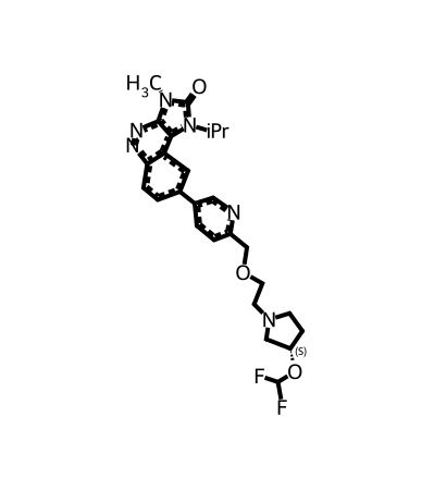 CC(C)n1c(=O)n(C)c2nnc3ccc(-c4ccc(COCCN5CC[C@H](OC(F)F)C5)nc4)cc3c21